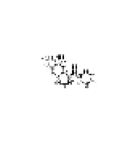 COc1cc2ncnc(Nc3ccccn3)c2cc1N